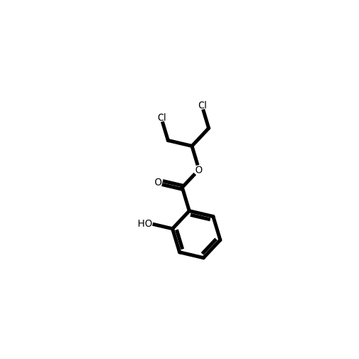 O=C(OC(CCl)CCl)c1ccccc1O